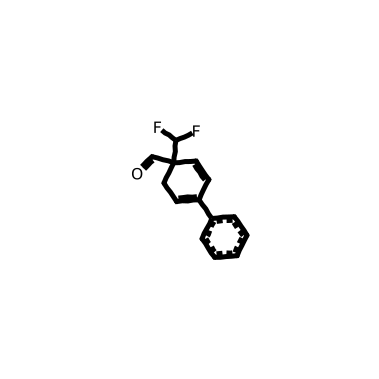 O=CC1(C(F)F)C=CC(c2ccccc2)=CC1